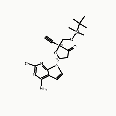 C#C[C@]1(CO[Si](C)(C)C(C)(C)C)O[C@@H](n2ccc3c(N)nc(Cl)nc32)CC1=O